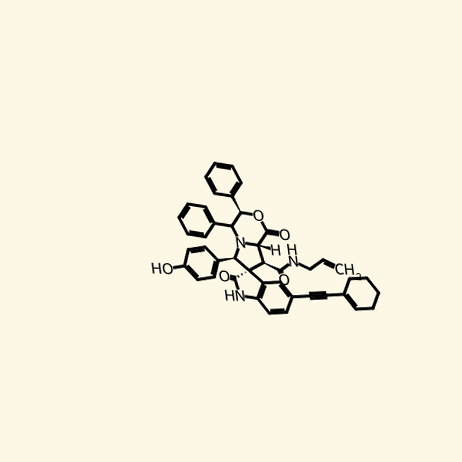 C=CCNC(=O)[C@@H]1[C@H]2C(=O)O[C@H](c3ccccc3)C(c3ccccc3)N2[C@H](c2ccc(O)cc2)[C@@]12C(=O)Nc1ccc(C#CC3=CCCCC3)cc12